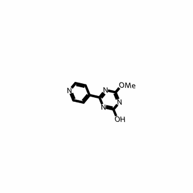 COc1nc(O)nc(-c2ccncc2)n1